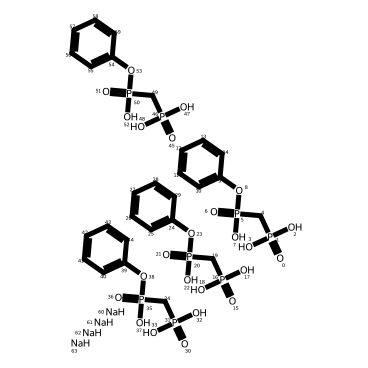 O=P(O)(O)CP(=O)(O)Oc1ccccc1.O=P(O)(O)CP(=O)(O)Oc1ccccc1.O=P(O)(O)CP(=O)(O)Oc1ccccc1.O=P(O)(O)CP(=O)(O)Oc1ccccc1.[NaH].[NaH].[NaH].[NaH]